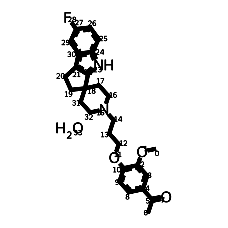 COc1cc(C(C)=O)ccc1OCCCN1CCC2(CCc3c2[nH]c2ccc(F)cc32)CC1.O